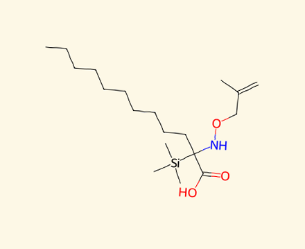 C=C(C)CONC(CCCCCCCCCC)(C(=O)O)[Si](C)(C)C